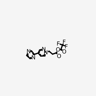 O=C(CC[n+]1ccc(-c2cnccn2)cn1)OC(=O)C(F)(F)F